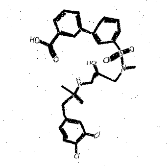 CN(CC(O)CNC(C)(C)Cc1ccc(Cl)c(Cl)c1)S(=O)(=O)c1cccc(-c2cccc(C(=O)O)c2)c1